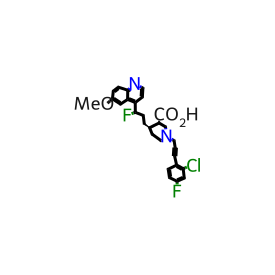 COc1ccc2nccc(C(F)CC[C@@H]3CCN(CC#Cc4ccc(F)cc4Cl)C[C@@H]3C(=O)O)c2c1